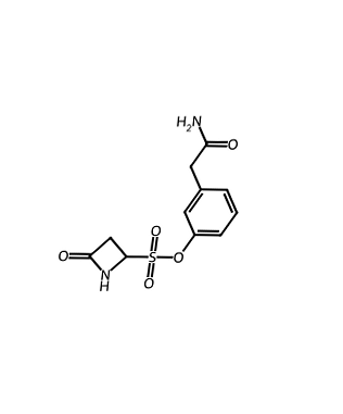 NC(=O)Cc1cccc(OS(=O)(=O)C2CC(=O)N2)c1